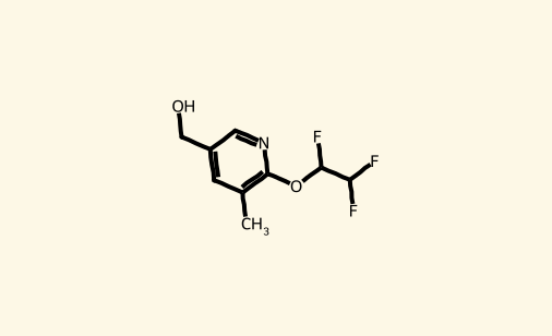 Cc1cc(CO)cnc1OC(F)C(F)F